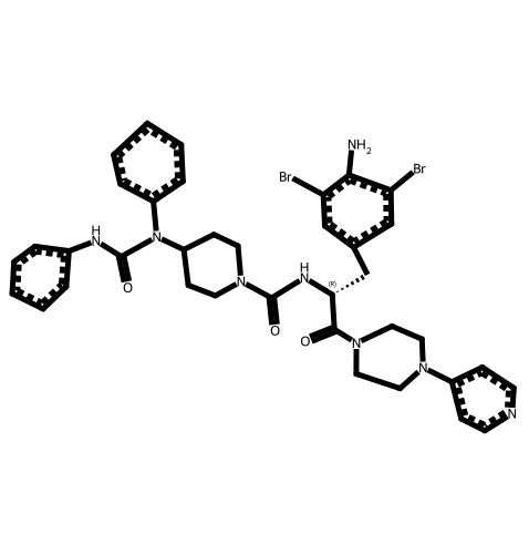 Nc1c(Br)cc(C[C@@H](NC(=O)N2CCC(N(C(=O)Nc3ccccc3)c3ccccc3)CC2)C(=O)N2CCN(c3ccncc3)CC2)cc1Br